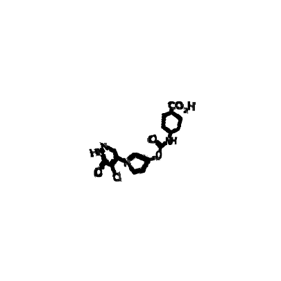 O=C(NC1CCC(C(=O)O)CC1)O[C@@H]1CCN(c2cn[nH]c(=O)c2Cl)C1